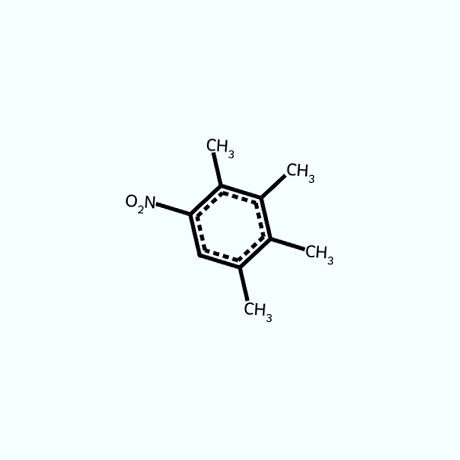 Cc1cc([N+](=O)[O-])c(C)c(C)c1C